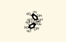 O[C@@H]1[C@@H](O)[C@@H](O)[C@@](O)(O[C@]2(O)[C@H](O)[C@H](O)[C@@H](O)[C@H](O)[C@H]2O)[C@H](O)[C@H]1O